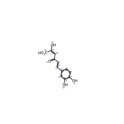 O=C(/C=C/c1ccc(O)c(O)c1)/C=C(/O)C(=O)O